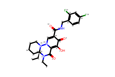 CCN1C(=O)c2c(O)c(=O)c(C(=O)NCc3ccc(F)cc3F)cn2N2CCCC[C@@]12CC